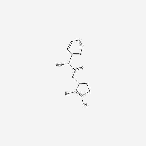 CC(=O)OC(C(=O)O[C@@H]1CCC(C#N)=C1Br)c1ccccc1